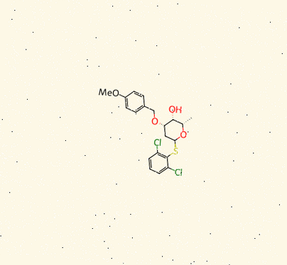 COc1ccc(CO[C@H]2C[C@H](Sc3c(Cl)cccc3Cl)O[C@@H](C)[C@H]2O)cc1